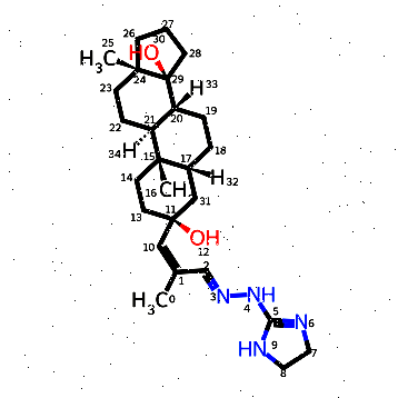 CC(C=NNC1=NCCN1)=C[C@]1(O)CC[C@@]2(C)[C@H](CC[C@@H]3[C@@H]2CC[C@]2(C)CCC[C@]32O)C1